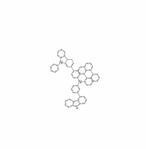 C1=C(c2ccc(N(c3cccc(-c4cccc5sc6ccccc6c45)c3)c3ccccc3-c3cccc4cccc(-c5ccccc5)c34)cc2)C=C2C(C1)c1ccccc1N2c1ccccc1